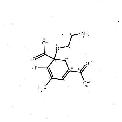 CC1=C(F)C(OCCN)(C(=O)O)CC(C(=O)O)=C1